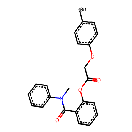 CN(C(=O)c1ccccc1OC(=O)COc1ccc(C(C)(C)C)cc1)c1ccccc1